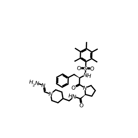 Cc1c(C)c(C)c(S(=O)(=O)N[C@H](Cc2ccccc2)C(=O)N2CCC[C@H]2C(=O)NCC2CCN(C=NN)CC2)c(C)c1C